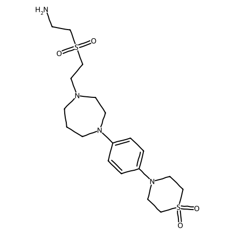 NCCS(=O)(=O)CCN1CCCN(c2ccc(N3CCS(=O)(=O)CC3)cc2)CC1